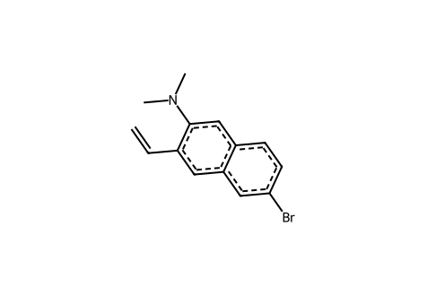 C=Cc1cc2cc(Br)ccc2cc1N(C)C